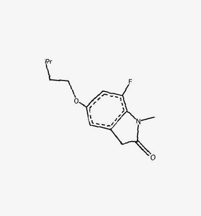 CC(C)CCOc1cc(F)c2c(c1)CC(=O)N2C